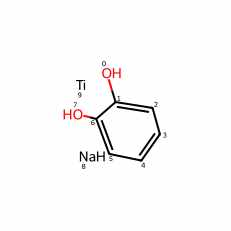 Oc1ccccc1O.[NaH].[Ti]